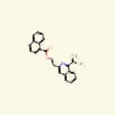 CC(C)c1nc(CCOC(=O)c2cccc3ccccc23)cc2ccccc12